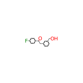 O=C(Cc1cccc(CO)c1)c1ccc(F)cc1